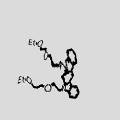 CCOCCOCCn1c2ccccc2c2cc3c4ccccc4n(CCOCCOCC)c3cc21